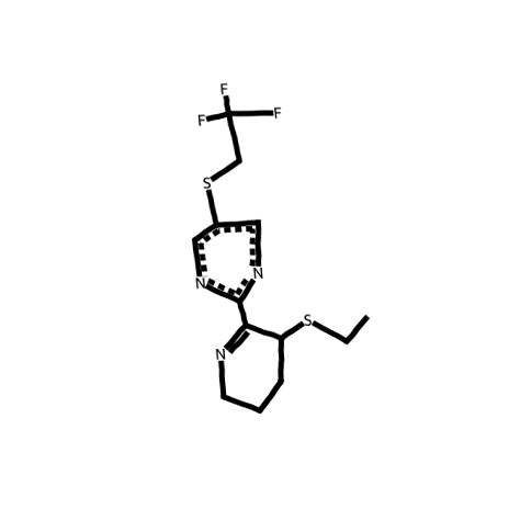 CCSC1CCCN=C1c1ncc(SCC(F)(F)F)cn1